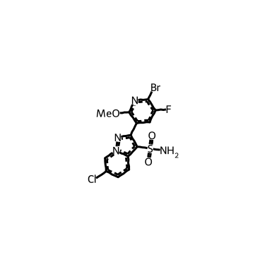 COc1nc(Br)c(F)cc1-c1nn2cc(Cl)ccc2c1S(N)(=O)=O